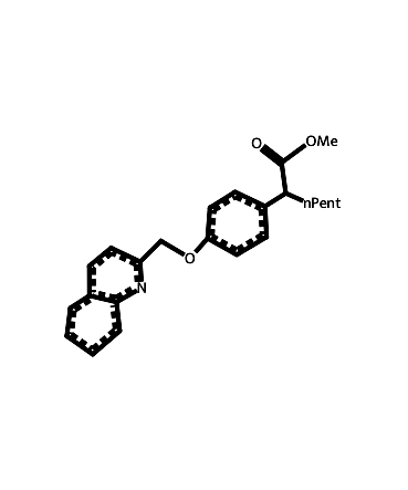 CCCCCC(C(=O)OC)c1ccc(OCc2ccc3ccccc3n2)cc1